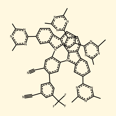 Cc1nc(C)nc(-c2ccc3c4ccc(-c5nc(C)nc(C)n5)cc4n(-c4cc(C#N)c(-c5cc(C#N)cc(C(F)(F)F)c5)cc4-n4c5cc(-c6nc(C)nc(C)n6)ccc5c5ccc(-c6nc(C)nc(C)n6)cc54)c3c2)n1